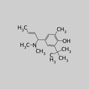 CC=CC(c1cc(C)c(O)c(C(C)(C)C)c1)N(C)C